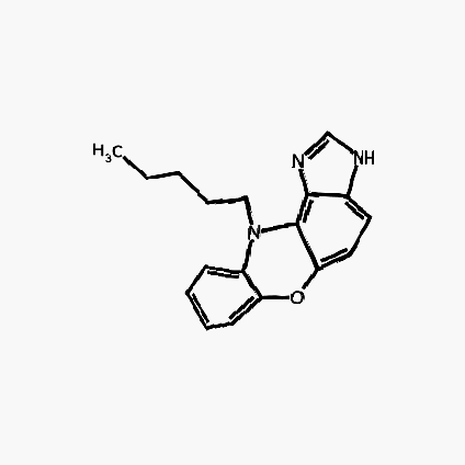 CCCCCN1c2ccccc2Oc2ccc3[nH]cnc3c21